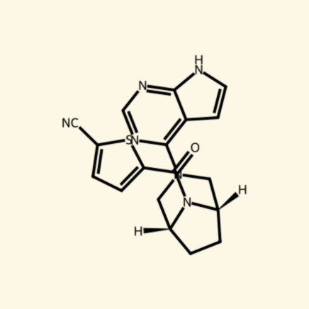 N#Cc1ccc(C(=O)N2[C@@H]3CC[C@H]2CN(c2ncnc4[nH]ccc24)C3)s1